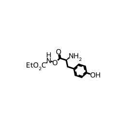 CCOC(=O)NOC(=O)[C@@H](N)Cc1ccc(O)cc1